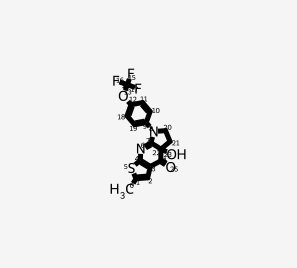 Cc1cc2c(s1)N=C1N(c3ccc(OC(F)(F)F)cc3)CCC1(O)C2=O